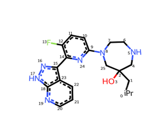 CC(C)CC1(O)CNCCN(c2ccc(F)c(-c3n[nH]c4ncccc34)n2)C1